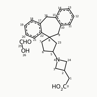 O=C(O)CC1CN(C2CCC3(Cc4ccccc4Cc4ccccc43)C2)C1.O=CO